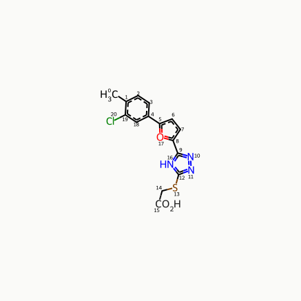 Cc1ccc(-c2ccc(-c3nnc(SCC(=O)O)[nH]3)o2)cc1Cl